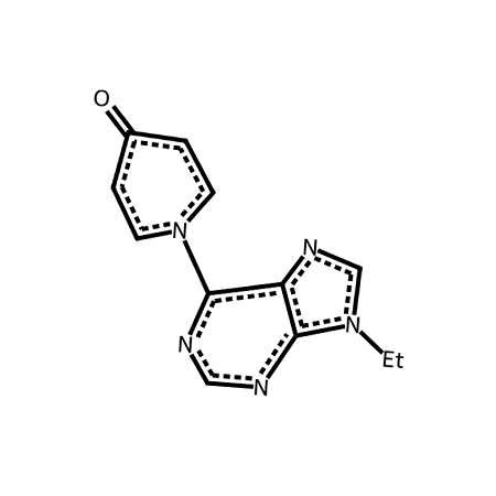 CCn1cnc2c(-n3ccc(=O)cc3)ncnc21